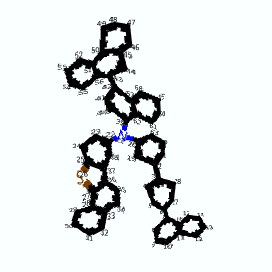 c1cc(-c2ccc(-c3cccc4ccccc34)cc2)cc(N(c2ccc3sc4c5ccccc5ccc4c3c2)c2ccc(-c3cc4ccccc4c4ccccc34)c3ccccc23)c1